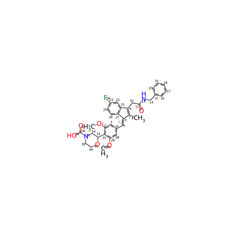 COc1cc(/C=C2/C(C)=C(CC(=O)NCc3ccccc3)c3cc(F)ccc32)cc(OC)c1C1CN(C(=O)O)CCO1